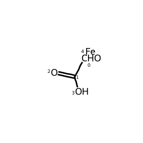 O=CC(=O)O.[Fe]